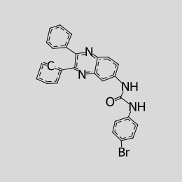 O=C(Nc1ccc(Br)cc1)Nc1ccc2nc(-c3ccccc3)c(-c3ccccc3)nc2c1